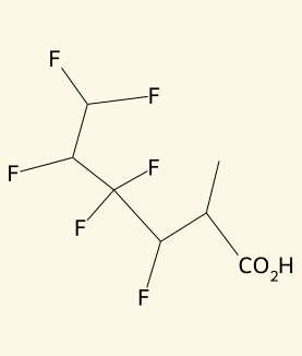 CC(C(=O)O)C(F)C(F)(F)C(F)C(F)F